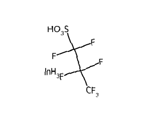 O=S(=O)(O)C(F)(F)C(F)(F)C(F)(F)F.[InH3]